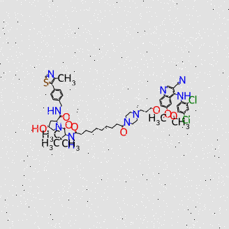 COc1cc(Nc2c(C#N)cnc3cc(OCCCN4CCN(C(=O)CCCCCCCCC(=O)N[C@H](C(=O)N5C[C@H](O)C[C@H]5C(=O)NCc5ccc(-c6scnc6C)cc5)C(C)(C)C)CC4)c(OC)cc23)c(Cl)cc1Cl